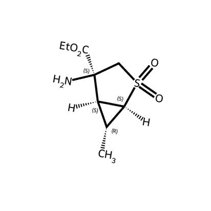 CCOC(=O)[C@]1(N)CS(=O)(=O)[C@H]2[C@H](C)[C@H]21